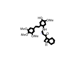 COc1cc(N/C=C\C(=O)c2c[nH]c3ccccc23)c(C=Cc2cc(OC)c(OC)c(OC)c2)cc1O